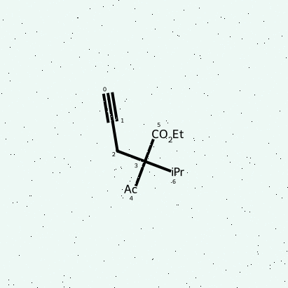 C#CCC(C(C)=O)(C(=O)OCC)C(C)C